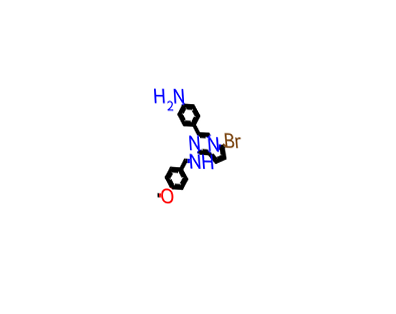 COc1ccc(CNc2nc(-c3ccc(N)cc3)cn3c(Br)ccc23)cc1